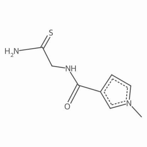 Cn1ccc(C(=O)NCC(N)=S)c1